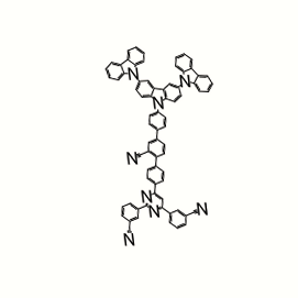 N#Cc1cccc(-c2cc(-c3ccc(-c4ccc(-c5ccc(-n6c7ccc(-n8c9ccccc9c9ccccc98)cc7c7cc(-n8c9ccccc9c9ccccc98)ccc76)cc5)cc4C#N)cc3)nc(-c3cccc(C#N)c3)n2)c1